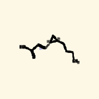 CCCC[C@@H]1C[C@H]1/C=C/C(=O)O